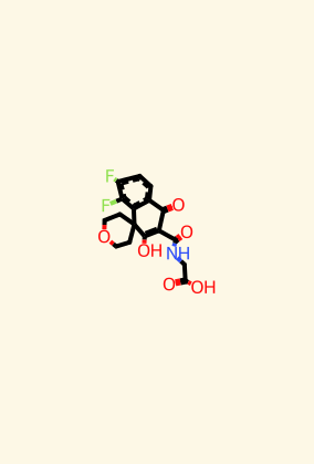 O=C(O)CNC(=O)C1=C(O)C2(CCOCC2)c2c(ccc(F)c2F)C1=O